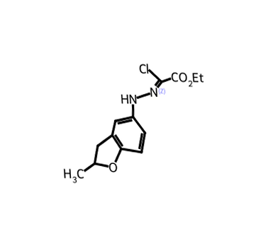 CCOC(=O)/C(Cl)=N/Nc1ccc2c(c1)CC(C)O2